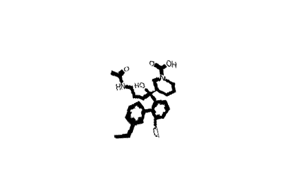 CCc1cccc(-c2c(Cl)cccc2C(O)(CCCNC(C)=O)[C@@H]2CCCN(C(=O)O)C2)c1